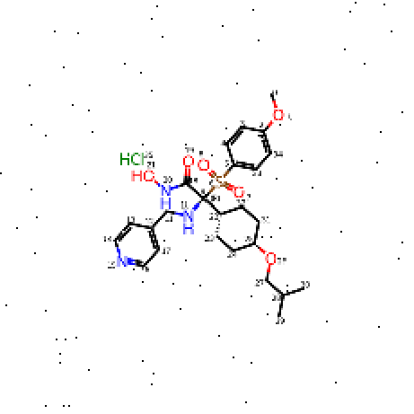 COc1ccc(S(=O)(=O)[C@@](NCc2ccncc2)(C(=O)NO)[C@H]2CC[C@H](OCC(C)C)CC2)cc1.Cl